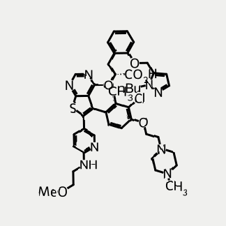 CCCCn1nccc1COc1ccccc1C[C@@H](Oc1ncnc2sc(-c3ccc(NCCOC)nc3)c(-c3ccc(OCCN4CCN(C)CC4)c(Cl)c3C)c12)C(=O)O